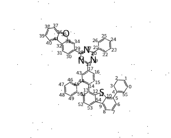 C1=CCCC(c2cccc3c2sc2c(-c4ccc(-c5nc(-c6ccccc6)nc(-c6ccc7c(c6)oc6ccccc67)n5)cc4-c4ccccc4)cccc23)=C1